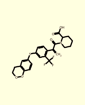 C=C(C(=O)N1CCCCC1C(=O)O)c1ccc(Sc2ccc3c(c2)CCOO3)cc1C(F)(F)F